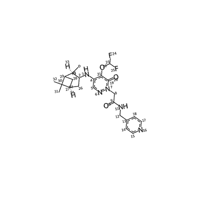 C[C@H]1C(Nc2cnn(CC(=O)NCc3ccncc3)c(=O)c2OC(F)F)C[C@@H]2CC1C2(C)C